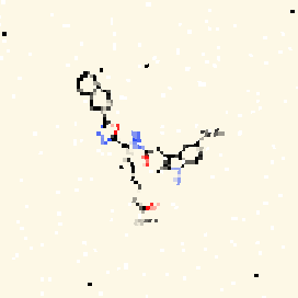 CNC(=O)CCCCC[C@@H](NC(=O)Cc1c(C)[nH]c2ccc(OC)cc12)c1nnc(-c2ccc3ccccc3c2)o1